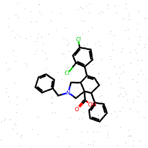 O=C(O)C12CN(Cc3ccccc3)CC1C(c1ccc(Cl)cc1Cl)=CCC2c1ccccc1